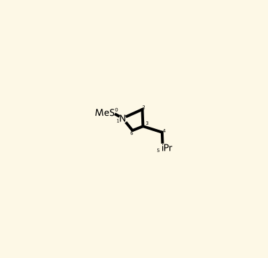 CSN1CC(CC(C)C)C1